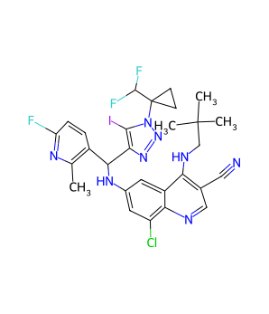 Cc1nc(F)ccc1C(Nc1cc(Cl)c2ncc(C#N)c(NCC(C)(C)C)c2c1)c1nnn(C2(C(F)F)CC2)c1I